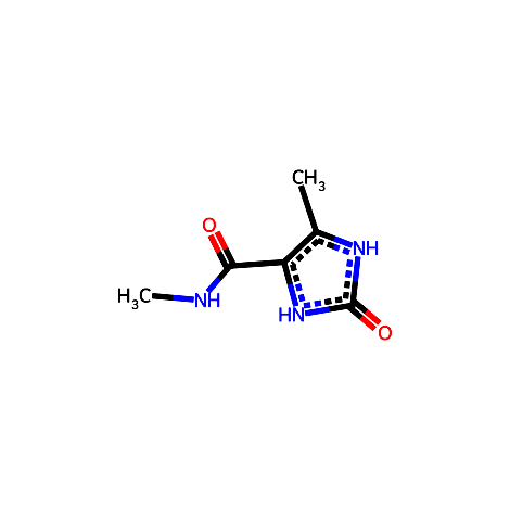 CNC(=O)c1[nH]c(=O)[nH]c1C